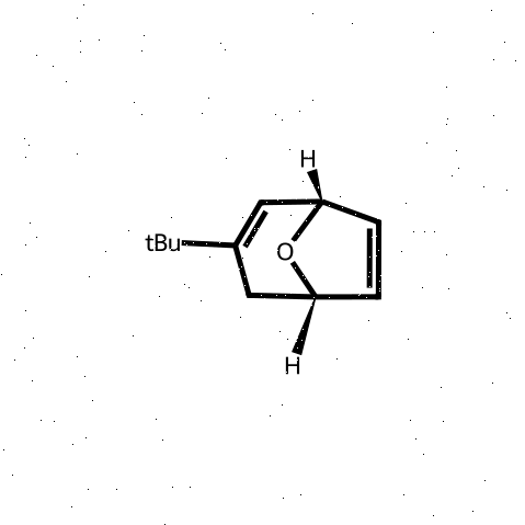 CC(C)(C)C1=C[C@@H]2C=C[C@H](C1)O2